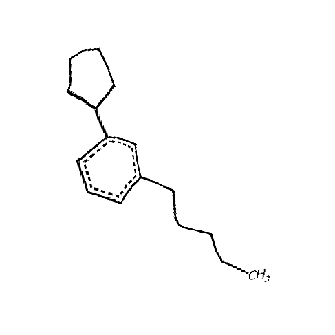 CCCCCc1cccc(C2CCCC2)c1